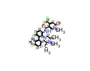 C[C@@H]1CN(c2c(NC(=O)c3cn(C)c(=O)cc3C(F)F)ccc(F)c2-c2cccc3scnc23)C[C@H](C)N1C